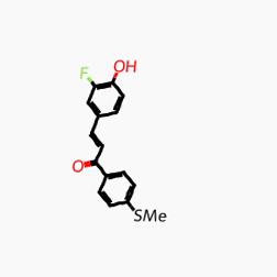 CSc1ccc(C(=O)/C=C/c2ccc(O)c(F)c2)cc1